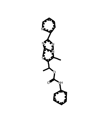 Cc1c(C(C)OC(=O)Nc2ccccc2)sc2nc(-c3ccccn3)nn12